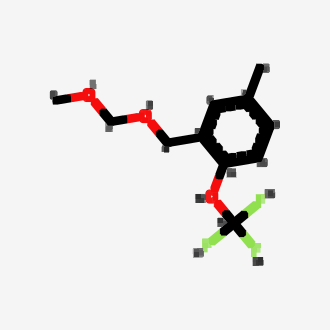 COCOCc1cc(C)ccc1OC(F)(F)F